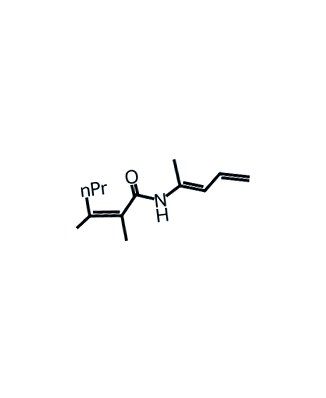 C=C/C=C(\C)NC(=O)/C(C)=C(/C)CCC